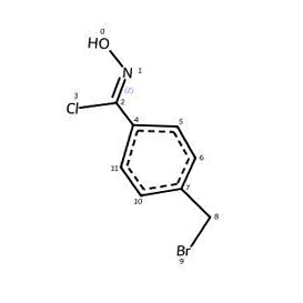 O/N=C(\Cl)c1ccc(CBr)cc1